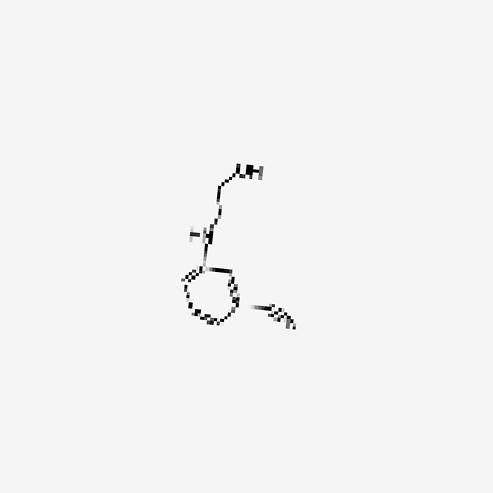 N#Cc1cccc(NCCO)c1